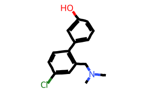 CN(C)Cc1cc(Cl)ccc1-c1cccc(O)c1